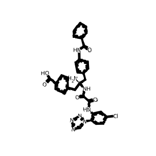 N[C@@](Cc1ccc(NC(=O)c2ccccc2)cc1)(Cc1ccc(C(=O)O)cc1)NC(=O)C(=O)Nc1cc(Cl)ccc1-n1cnnn1